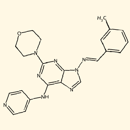 Cc1cccc(C=Nn2cnc3c(Nc4ccncc4)nc(N4CCOCC4)nc32)c1